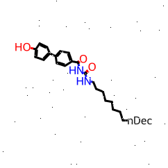 CCCCCCCCCCCCCCCCCCNC(=O)NC(=O)c1ccc(-c2ccc(O)cc2)cc1